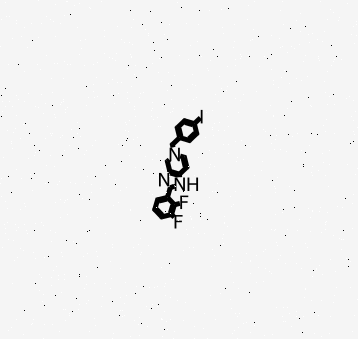 Fc1cccc(-c2nc3c([nH]2)C=CN(Cc2ccc(I)cc2)C3)c1F